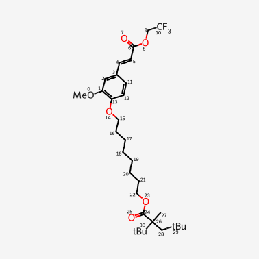 COc1cc(/C=C/C(=O)OCC(F)(F)F)ccc1OCCCCCCCCOC(=O)C(C)(CC(C)(C)C)C(C)(C)C